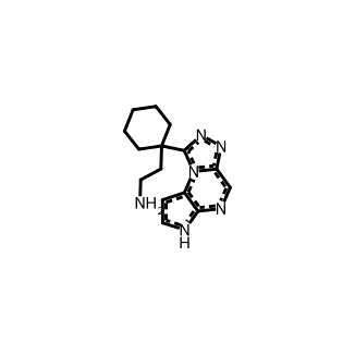 NCCC1(c2nnc3cnc4[nH]ccc4n23)CCCCC1